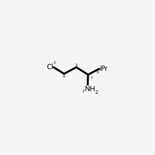 CC(C)C(N)CCCl